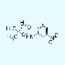 CC(C)(C)OC(=O)Nc1cncc([N+](=O)[O-])c1